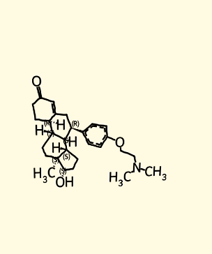 CN(C)CCOc1ccc([C@@H]2CC3=CC(=O)CC[C@@H]3[C@H]3CC[C@]4(C)[C@@H](O)CC[C@H]4[C@@H]32)cc1